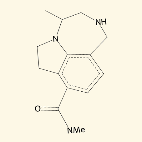 CNC(=O)c1ccc2c3c1CCN3C(C)CNC2